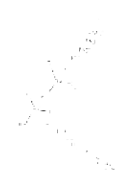 O.O.O.O.O.[Cl-].[Cl-].[Mg+2].[Mg+2].[Mg+2].[Mg+2].[Mg+2].[O-]B([O-])[O-].[O-]B([O-])[O-].[OH-].[OH-]